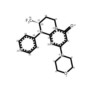 O=c1cc(N2CCOCC2)nc2n1CC[C@@H](C(F)(F)F)N2c1ccncc1